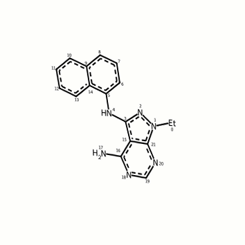 CCn1nc(Nc2cccc3ccccc23)c2c(N)ncnc21